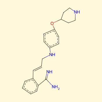 N=C(N)c1ccccc1C=CCNc1ccc(OC2CCNCC2)cc1